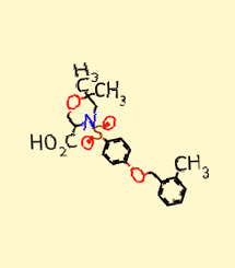 Cc1ccccc1COc1ccc(S(=O)(=O)N2CC(C)(C)OC[C@@H]2C(=O)O)cc1